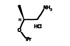 CC(C)O[C@@H](C)CN.Cl